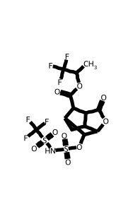 CC(OC(=O)C1C2CC3C(OC(=O)C31)C2OS(=O)(=O)NS(=O)(=O)C(F)(F)F)C(F)(F)F